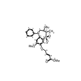 CCCCC1CN(c2ccccc2)c2cc(SC)c(OC/C=C/C(=O)OC)cc2S(=O)(=O)N1C